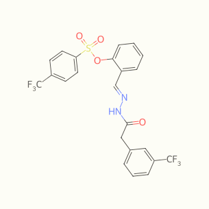 O=C(Cc1cccc(C(F)(F)F)c1)NN=Cc1ccccc1OS(=O)(=O)c1ccc(C(F)(F)F)cc1